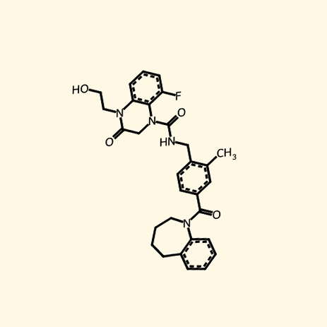 Cc1cc(C(=O)N2CCCCc3ccccc32)ccc1CNC(=O)N1CC(=O)N(CCO)c2cccc(F)c21